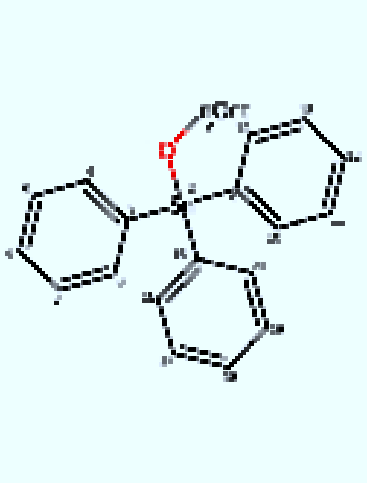 CCCCCCCC[O][Sn]([c]1ccccc1)([c]1ccccc1)[c]1ccccc1